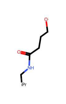 CC(C)CNC(=O)CCC[O]